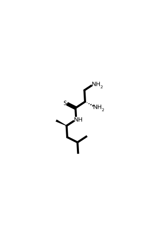 CC(C)C[C@@H](C)NC(=S)[C@@H](N)CN